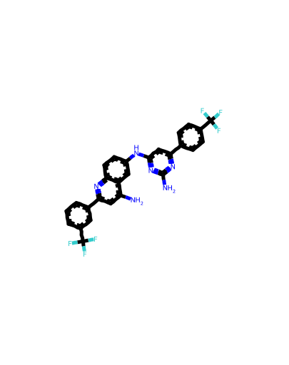 Nc1nc(Nc2ccc3nc(-c4cccc(C(F)(F)F)c4)cc(N)c3c2)cc(-c2ccc(C(F)(F)F)cc2)n1